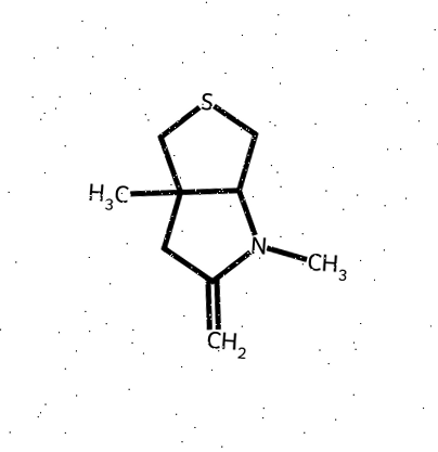 C=C1CC2(C)CSCC2N1C